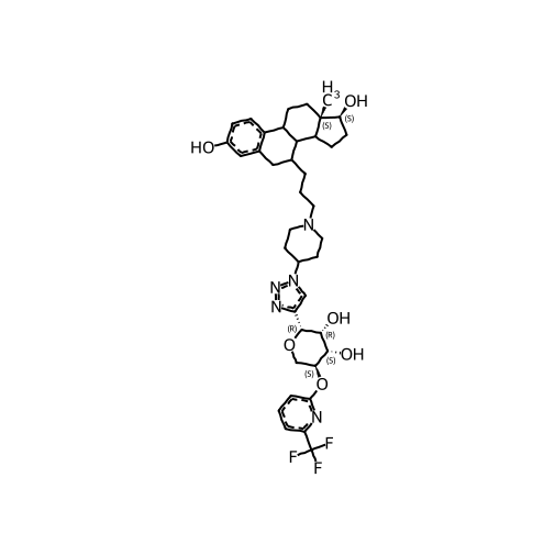 C[C@]12CCC3c4ccc(O)cc4CC(CCCN4CCC(n5cc([C@H]6OC[C@H](Oc7cccc(C(F)(F)F)n7)[C@@H](O)[C@H]6O)nn5)CC4)C3C1CC[C@@H]2O